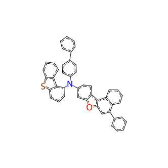 c1ccc(-c2ccc(N(c3ccc4c(c3)oc3cc(-c5ccccc5)c5ccccc5c34)c3cccc4sc5ccccc5c34)cc2)cc1